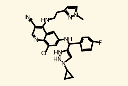 Cn1ccc(CCNc2c(C#N)cnc3c(Cl)cc(NC(C4=CN(C5CC5)NN4)c4ccc(F)cc4)cc23)n1